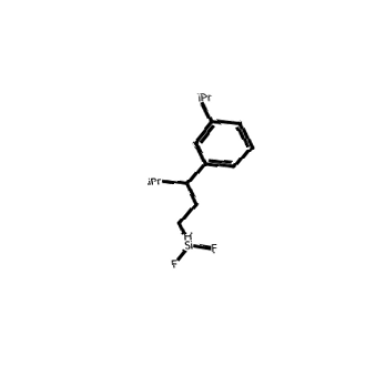 CC(C)c1cccc(C(CC[SiH](F)F)C(C)C)c1